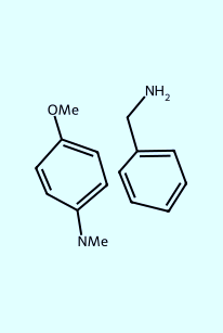 CNc1ccc(OC)cc1.NCc1ccccc1